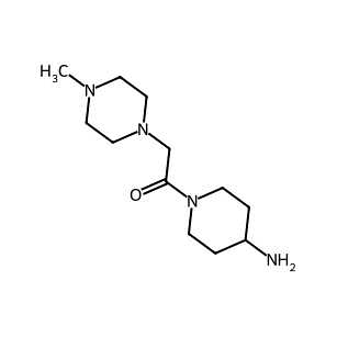 CN1CCN(CC(=O)N2CCC(N)CC2)CC1